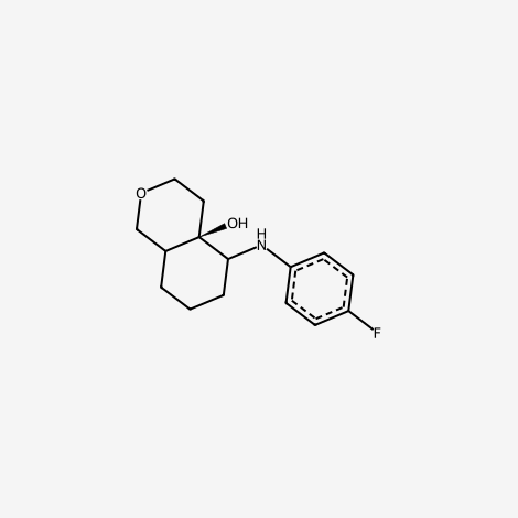 O[C@]12CCOCC1CCCC2Nc1ccc(F)cc1